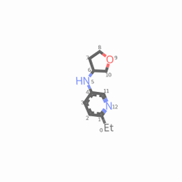 CCc1ccc(NC2CCOC2)cn1